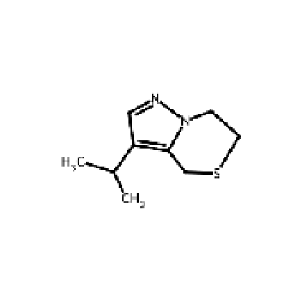 CC(C)c1cnn2c1CSCC2